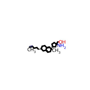 C/C=C\CCC[C@@H]1CCC2=CC(C)([C@H]3CC[C@](N)(CO)C3)CC=C2C1